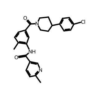 Cc1ccc(C(=O)Nc2cc(C(=O)N3CCC(c4ccc(Cl)cc4)CC3)ccc2C)cn1